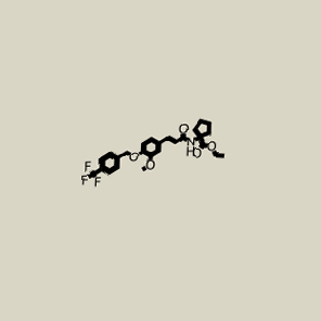 CCOC(=O)C1(NC(=O)C=Cc2ccc(OCc3ccc(C(F)(F)F)cc3)c(OC)c2)CCCC1